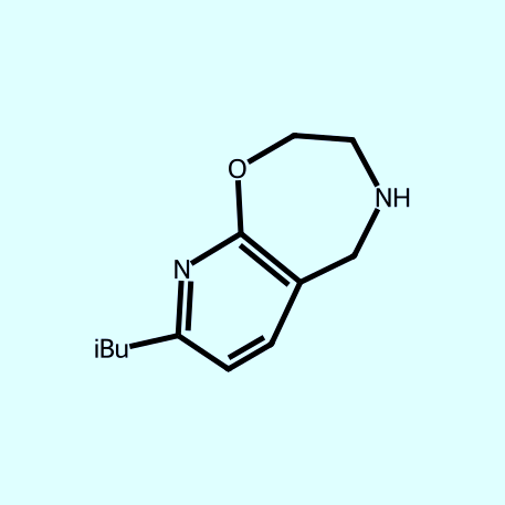 CCC(C)c1ccc2c(n1)OCCNC2